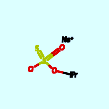 CC(C)OS(=O)([O-])=S.[Na+]